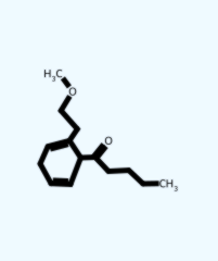 CCCCC(=O)C1C=CCC=C1CCOC